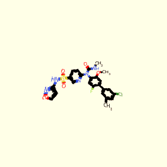 CNC(=O)N(c1ccc(S(=O)(=O)Nc2ccon2)cn1)c1cc(F)c(-c2cc(C)cc(Cl)c2)cc1OC